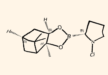 CC1(C)C2C[C@H]1C[C@H]1OB([C@@H]3CCCN3Cl)O[C@@]21C